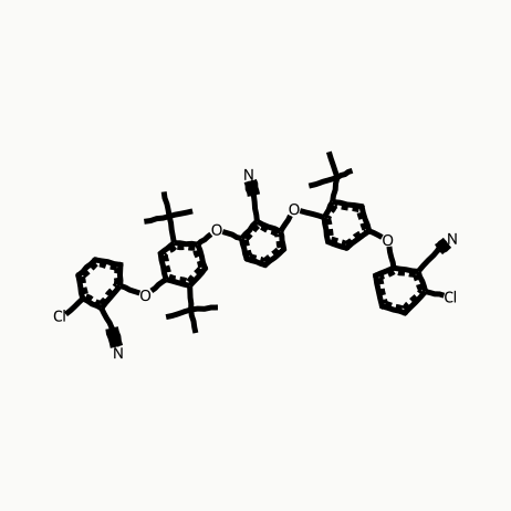 CC(C)(C)c1cc(Oc2cccc(Oc3ccc(Oc4cccc(Cl)c4C#N)cc3C(C)(C)C)c2C#N)c(C(C)(C)C)cc1Oc1cccc(Cl)c1C#N